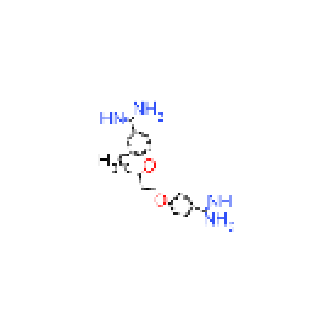 CCC(CCOc1ccc(C(=N)N)cc1)Oc1ccc(C(=N)N)cc1